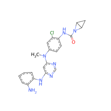 CN(c1ccc(NC(=O)N2C3CC32)c(Cl)c1)c1cc(Nc2ccccc2N)ncn1